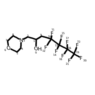 OC(CN1CCOCC1)CC(F)(F)C(F)(F)C(F)(F)C(F)(F)F